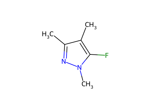 Cc1nn(C)c(F)c1C